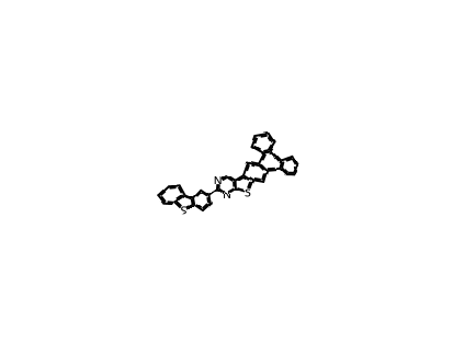 c1ccc2c(c1)sc1ccc(-c3ncc4c(n3)sc3cc5c6ccccc6c6ccccc6c5cc34)cc12